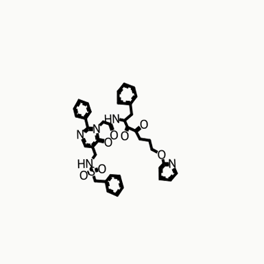 O=C(Cn1c(-c2ccccc2)ncc(CNS(=O)(=O)Cc2ccccc2)c1=O)NC(Cc1ccccc1)C(=O)C(=O)CCCOc1ccccn1